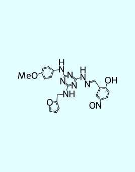 COc1ccc(Nc2nc(NCc3ccco3)nc(N/N=C/c3cc(N=O)ccc3O)n2)cc1